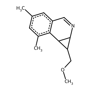 COCC1C2N=Cc3cc(C)cc(C)c3C12